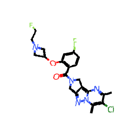 Cc1nc2c3c(nn2c(C)c1Cl)CN(C(=O)c1ccc(F)cc1OC1CN(CCF)C1)C3